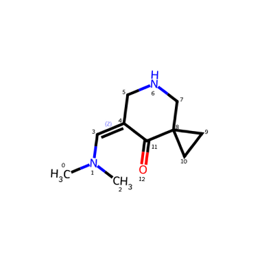 CN(C)/C=C1/CNCC2(CC2)C1=O